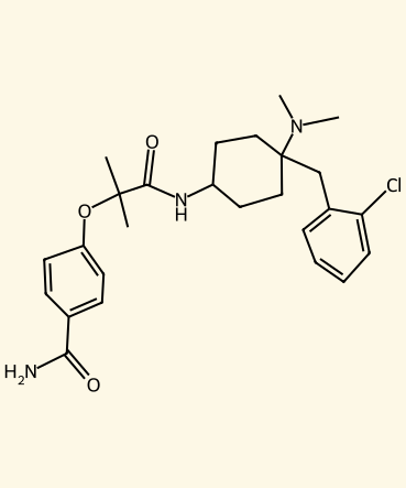 CN(C)C1(Cc2ccccc2Cl)CCC(NC(=O)C(C)(C)Oc2ccc(C(N)=O)cc2)CC1